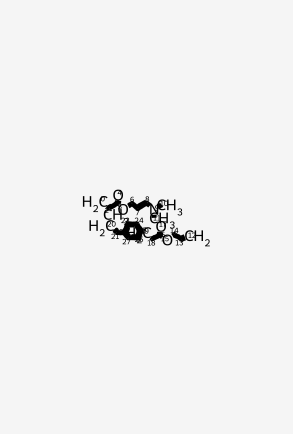 C=C(C)C(=O)OCC=CN(C)C.C=CCOC(=O)C=C.C=Cc1ccccc1